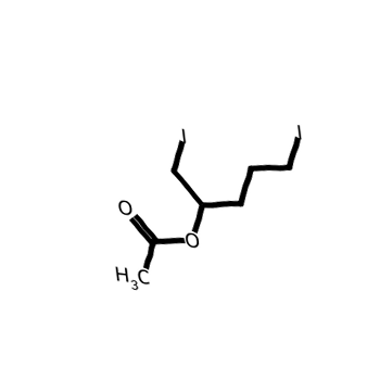 CC(=O)OC(CI)CCCI